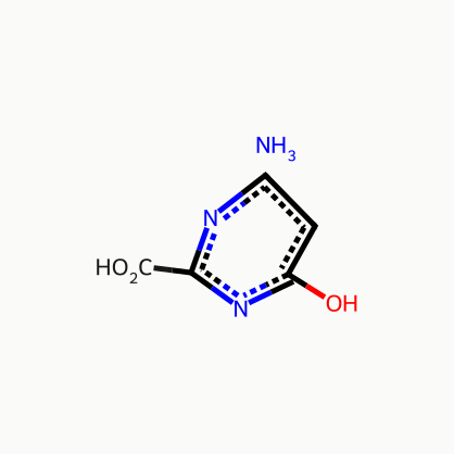 N.O=C(O)c1nccc(O)n1